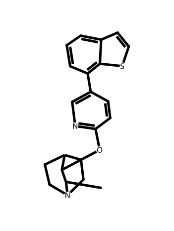 CC1C(Oc2ccc(-c3cccc4ccsc34)cn2)C2CCN1CC2